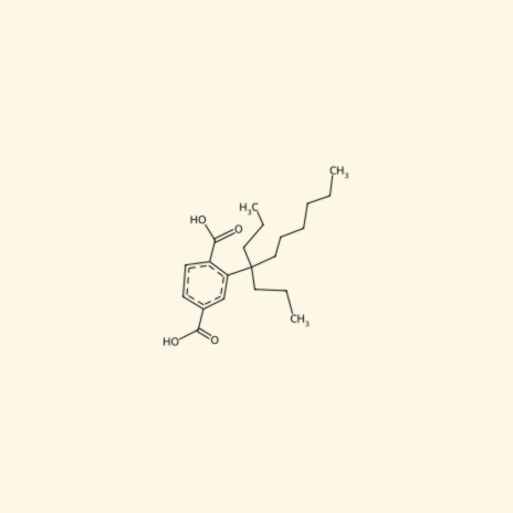 CCCCCCC(CCC)(CCC)c1cc(C(=O)O)ccc1C(=O)O